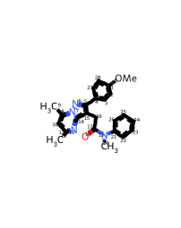 COc1ccc(-c2nn3c(C)cc(C)nc3c2CC(=O)N(C)c2ccccc2)cc1